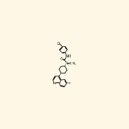 CN(C(=O)Nc1ccc(Cl)cc1)[C@H]1CC[C@H](c2ccnc3ccc(F)cc32)CC1